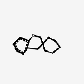 [CH]1c2ccccc2OCC12CCCCC2